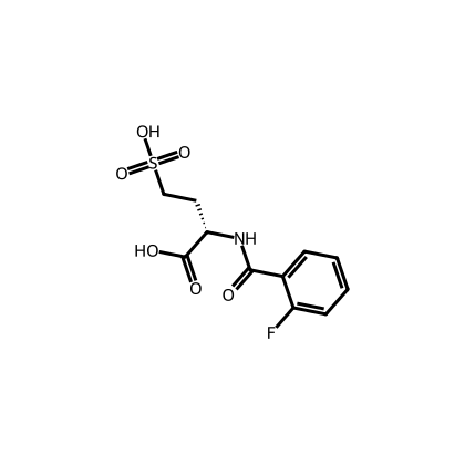 O=C(N[C@@H](CCS(=O)(=O)O)C(=O)O)c1ccccc1F